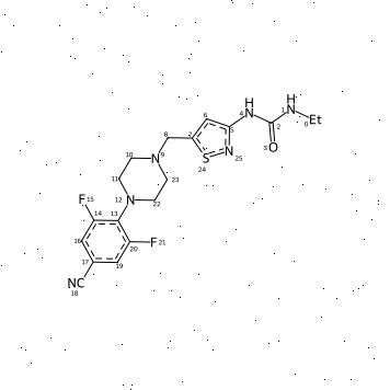 CCNC(=O)Nc1cc(CN2CCN(c3c(F)cc(C#N)cc3F)CC2)sn1